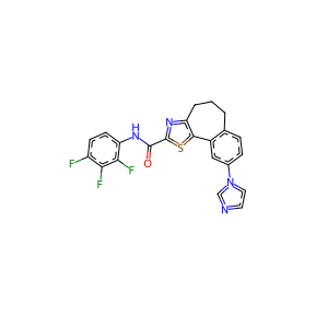 O=C(Nc1ccc(F)c(F)c1F)c1nc2c(s1)-c1cc(-n3ccnc3)ccc1CCC2